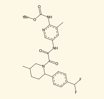 Cc1cc(NC(=O)C(=O)N2CC(C)CCC2c2ccc(C(F)F)cc2)cnc1NC(=O)OC(C)(C)C